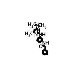 Cc1cc(N(C)C)nc(Nc2cccc(NC(=O)Cc3ccccc3)c2)n1